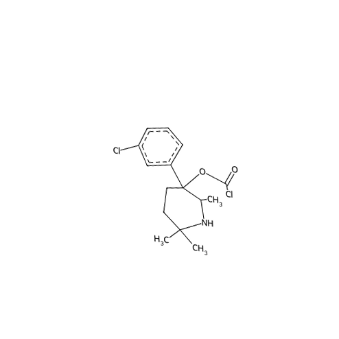 CC1NC(C)(C)CCC1(OC(=O)Cl)c1cccc(Cl)c1